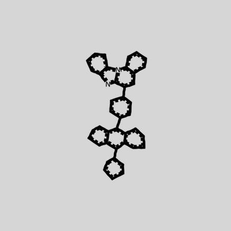 c1ccc(-c2c3ccccc3c(-c3ccc(-c4cc5ccccc5n5c4nc4ccccc45)cc3)c3ccccc23)cc1